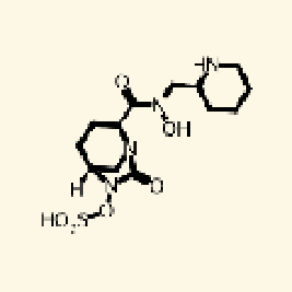 O=C([C@@H]1CC[C@@H]2CN1C(=O)N2OS(=O)(=O)O)N(O)C[C@@H]1CCCCN1